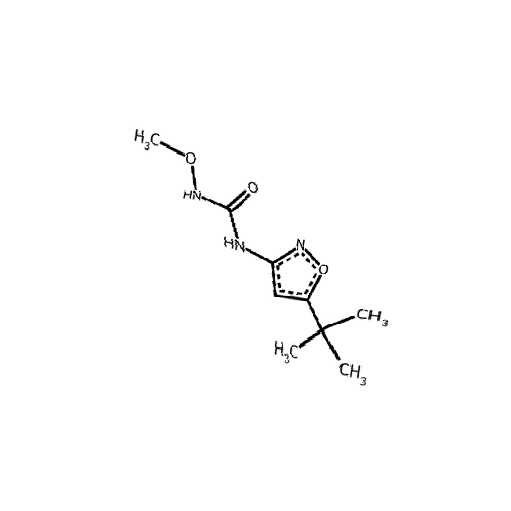 CONC(=O)Nc1cc(C(C)(C)C)on1